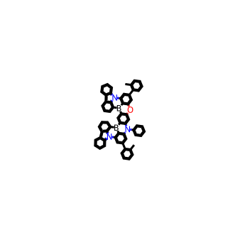 Cc1ccccc1-c1cc2c3c(c1)-n1c4ccccc4c4cccc(c41)B3c1cc3c(cc1O2)N(c1ccccc1)c1cc(-c2ccccc2C)cc2c1B3c1cccc3c4ccccc4n-2c13